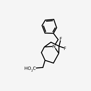 O=C(O)CC1CC2CC(F)(F)C(C1)N2Cc1ccccc1